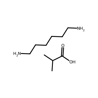 CC(C)C(=O)O.NCCCCCCN